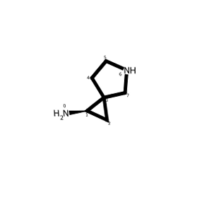 N[C@@H]1CC12CCNC2